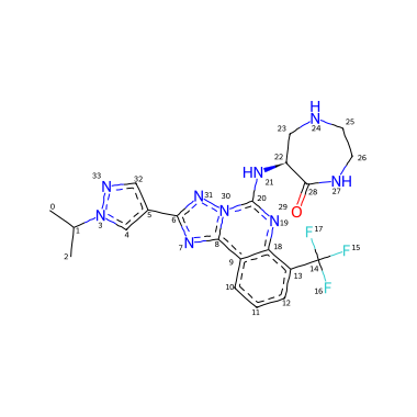 CC(C)n1cc(-c2nc3c4cccc(C(F)(F)F)c4nc(N[C@H]4CNCCNC4=O)n3n2)cn1